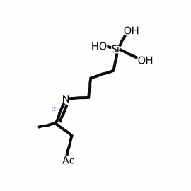 CC(=O)C/C(C)=N\CCC[Si](O)(O)O